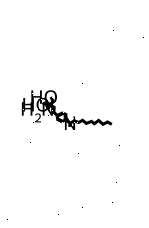 CCCCCCCCCCN(C)c1ccc(CCC(N)(CO)CO)cc1